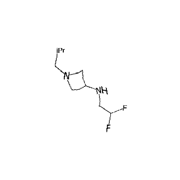 CC(C)CN1CC(NCC(F)F)C1